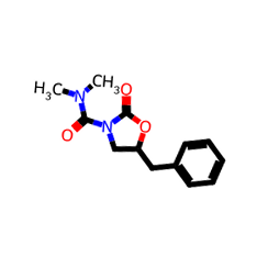 CN(C)C(=O)N1CC(Cc2ccccc2)OC1=O